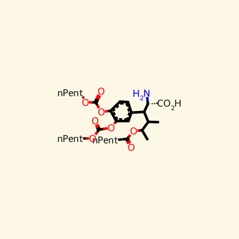 CCCCCOC(=O)Oc1ccc(C(C(C)C(C)OC(=O)CCCCC)[C@H](N)C(=O)O)cc1OC(=O)OCCCCC